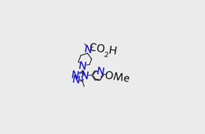 COc1ccc(-n2c(C)nnc2N2CCC(N(C)C(=O)O)CC2)cn1